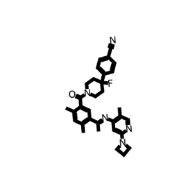 C/C(=N\c1cc(N2CCC2)ncc1C)c1cc(C(=O)N2CCC(F)(c3ccc(C#N)cc3)CC2)c(C)cc1C